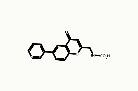 O=C(O)NCc1cc(=O)c2cc(-c3cccnc3)ccc2o1